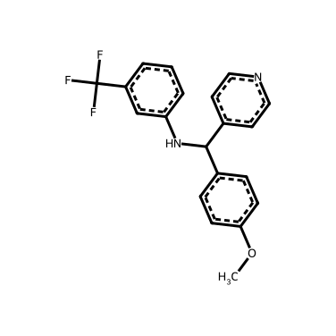 COc1ccc(C(Nc2cccc(C(F)(F)F)c2)c2ccncc2)cc1